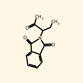 CCC(C(C)=O)N1C(=O)c2ccccc2C1=O